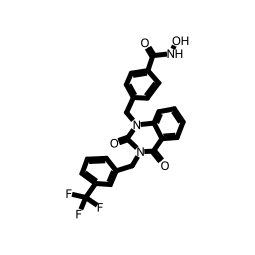 O=C(NO)c1ccc(Cn2c(=O)n(Cc3cccc(C(F)(F)F)c3)c(=O)c3ccccc32)cc1